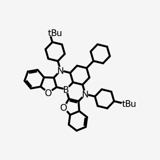 CC(C)(C)C1CCC(N2C3=C(OC4CCC=CC34)B3C4OC5C=CC=CC5C4N(C4CCC(C(C)(C)C)CC4)C4CC(C5CCCCC5)CC2C34)CC1